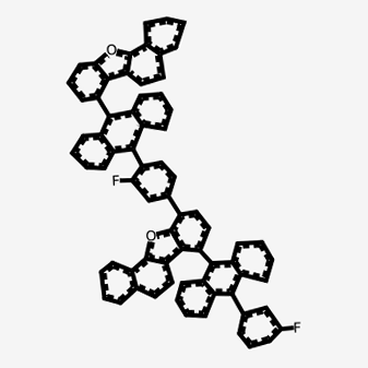 Fc1cccc(-c2c3ccccc3c(-c3ccc(-c4ccc(-c5c6ccccc6c(-c6cccc7oc8c9ccccc9ccc8c67)c6ccccc56)c(F)c4)c4oc5c6ccccc6ccc5c34)c3ccccc23)c1